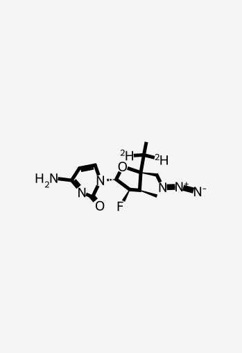 [2H]C([2H])(C)[C@@]1(CN=[N+]=[N-])O[C@@H](n2ccc(N)nc2=O)[C@H](F)[C@@H]1C